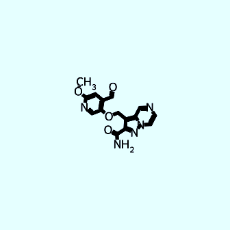 COc1cc(C=O)c(OCc2c(C(N)=O)nn3ccncc23)cn1